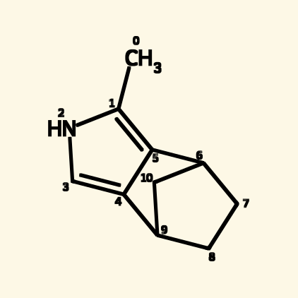 Cc1[nH]cc2c1C1CCC2C1